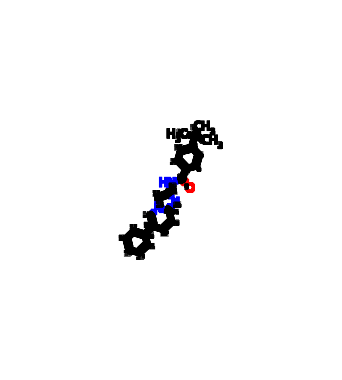 CC(C)(C)c1ccc(C(=O)Nc2cn3cc(-c4ccccc4)ccc3n2)cc1